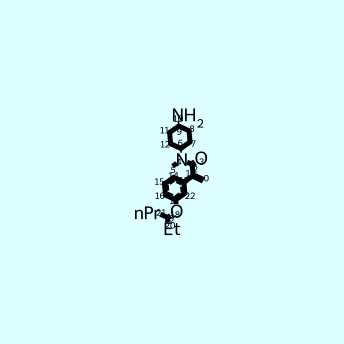 C=C(C(=O)N(C)[C@H]1CC[C@@H](N)CC1)c1cccc(OC(CC)CCC)c1